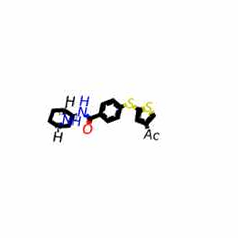 CC(=O)c1csc(Sc2ccc(C(=O)N[C@@H]3C[C@H]4CC[C@@H]3N4)cc2)c1